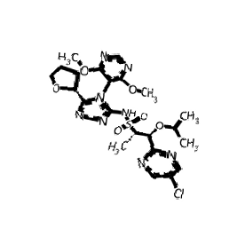 COc1ncnc(OC)c1-n1c(NS(=O)(=O)[C@@H](C)[C@@H](OC(C)C)c2ncc(Cl)cn2)nnc1[C@@H]1CCCO1